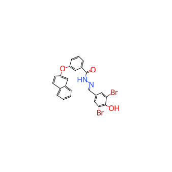 O=C(NN=Cc1cc(Br)c(O)c(Br)c1)c1cccc(Oc2ccc3ccccc3c2)c1